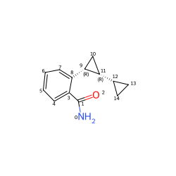 NC(=O)c1ccccc1[C@@H]1C[C@@H]1C1CC1